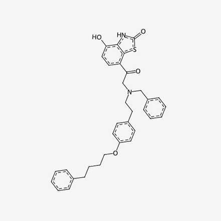 O=C(CN(CCc1ccc(OCCCCc2ccccc2)cc1)Cc1ccccc1)c1ccc(O)c2[nH]c(=O)sc12